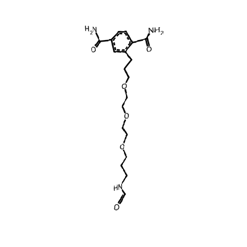 NC(=O)c1ccc(C(N)=O)c(CCCOCCOCCOCCCNC=O)c1